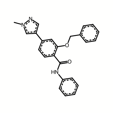 Cn1cc(-c2ccc(C(=O)Nc3ccccc3)c(OCc3ccccc3)c2)cn1